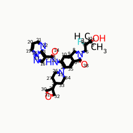 CC(C)(O)[C@H](F)CN1Cc2cc(NC(=O)c3cnn4cccnc34)c(N3CCC(C4COC4)CC3)cc2C1=O